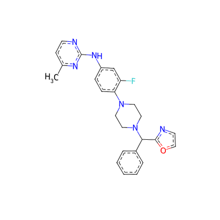 Cc1ccnc(Nc2ccc(N3CCN(C(c4ccccc4)c4ncco4)CC3)c(F)c2)n1